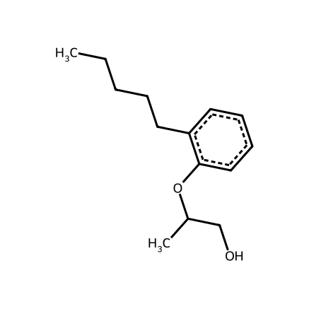 CCCCCc1ccccc1OC(C)CO